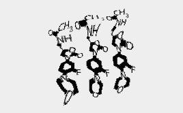 CC(=O)NC[C@H]1CN(c2ccc(N3CCOCC3)c(F)c2)C(=O)O1.CC(=O)NC[C@H]1CN(c2ccc(N3CCOCC3)c(F)c2)C(=O)O1.CC(=O)NC[C@H]1CN(c2ccc(N3CCOCC3)c(F)c2)C(=O)O1